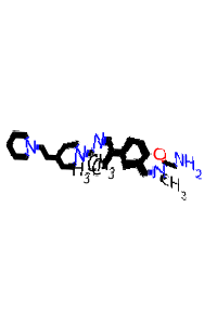 C/C=C(\C=N/C(C)N1CCC(CCN2CCCCC2)CC1)c1cccc(CN(C)C(=O)CN)c1